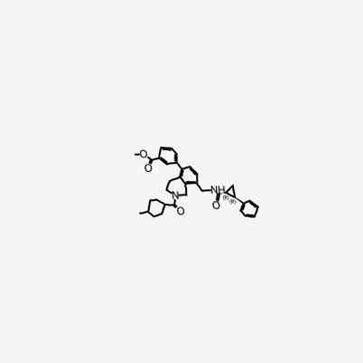 COC(=O)c1cccc(-c2ccc(CNC(=O)[C@@H]3C[C@H]3c3ccccc3)c3c2CCN(C(=O)C2CCC(C)CC2)C3)c1